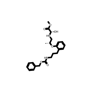 COC(=O)[C@H](O)NC[C@@H](C)Oc1ccccc1CCCNC(=O)OCc1ccccc1